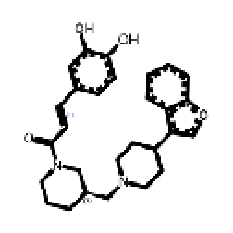 O=C(/C=C/c1ccc(O)c(O)c1)N1CCC[C@H](CN2CCC(c3coc4ccccc34)CC2)C1